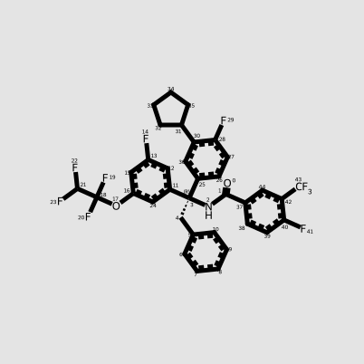 O=C(N[C@@](Cc1ccccc1)(c1cc(F)cc(OC(F)(F)C(F)F)c1)c1ccc(F)c(C2CCCC2)c1)c1ccc(F)c(C(F)(F)F)c1